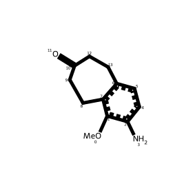 COc1c(N)ccc2c1CCC(=O)CC2